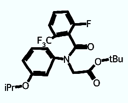 CC(C)Oc1cccc(N(CC(=O)OC(C)(C)C)C(=O)c2c(F)cccc2C(F)(F)F)c1